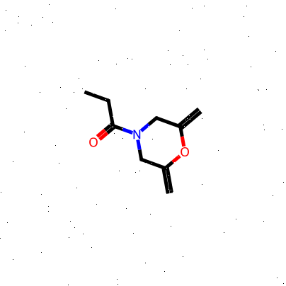 C=C1CN(C(=O)CC)CC(=C)O1